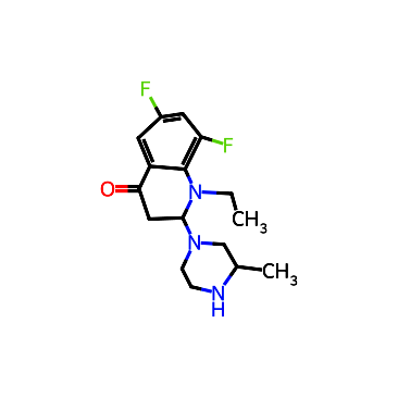 CCN1c2c(F)cc(F)cc2C(=O)CC1N1CCNC(C)C1